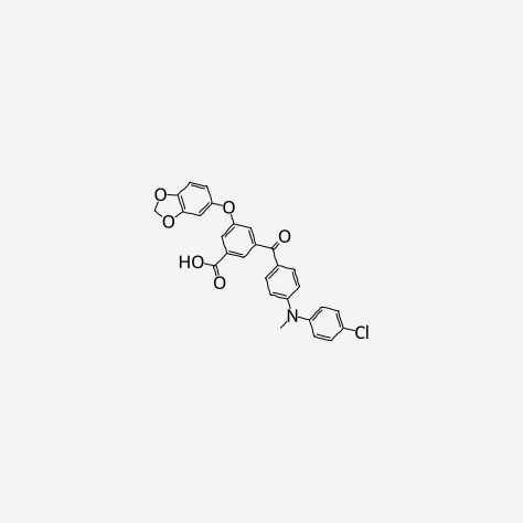 CN(c1ccc(Cl)cc1)c1ccc(C(=O)c2cc(Oc3ccc4c(c3)OCO4)cc(C(=O)O)c2)cc1